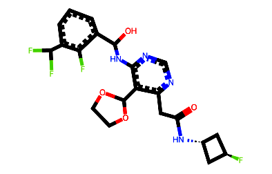 O=C(Cc1ncnc(NC(O)c2cccc(C(F)F)c2F)c1C1OCCO1)N[C@H]1C[C@H](F)C1